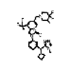 CC1CN(Cc2cc(C(F)(F)F)c3cn(-c4cccc(C(c5nncn5C)C5CCC5)c4)c(=O)n3c2)CCC1(F)F